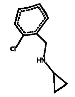 Clc1ccccc1CNC1CC1